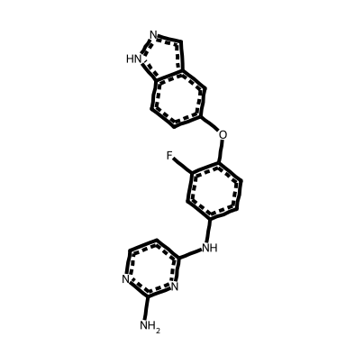 Nc1nccc(Nc2ccc(Oc3ccc4[nH]ncc4c3)c(F)c2)n1